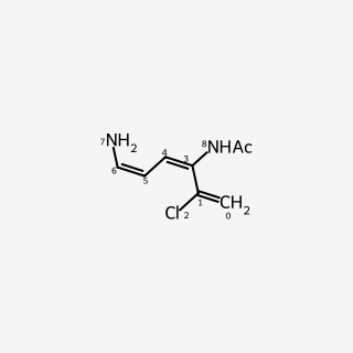 C=C(Cl)/C(=C\C=C/N)NC(C)=O